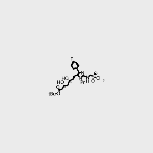 CC(C)n1c(NCS(C)(=O)=O)nc(-c2ccc(F)cc2)c1C=C[C@@H](O)C[C@@H](O)CC(=O)OC(C)(C)C